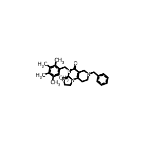 Cc1c(C)c(C)c(CN2C(=O)C3=C(CCN(Cc4ccccc4)C3)N3CCN=C23)c(C)c1C